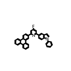 Fc1cc(-c2ccc3c(ccn3-c3ccccc3)c2)nc(-c2ccc3c4ccccc4c4ccccc4c3c2)c1